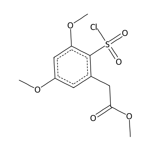 COC(=O)Cc1cc(OC)cc(OC)c1S(=O)(=O)Cl